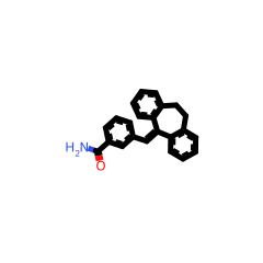 NC(=O)c1cccc(C=C2c3ccccc3CCc3ccccc32)c1